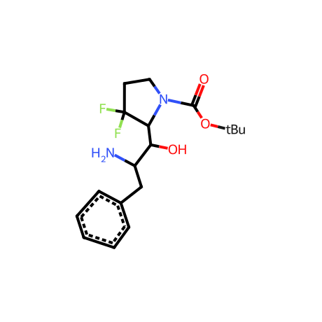 CC(C)(C)OC(=O)N1CCC(F)(F)C1C(O)C(N)Cc1ccccc1